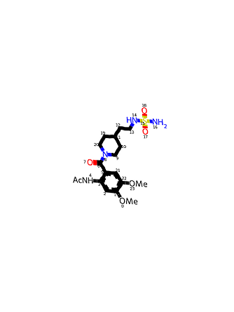 COc1cc(NC(C)=O)c(C(=O)N2CCC(CCNS(N)(=O)=O)CC2)cc1OC